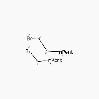 CCCCCCBr.CCCCCCCBr